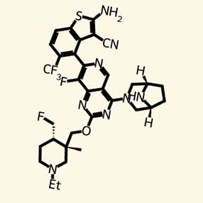 CCN1CC[C@H](CF)[C@](C)(COc2nc(N3C[C@H]4CC[C@@H](C3)N4)c3cnc(-c4c(C(F)(F)F)ccc5sc(N)c(C#N)c45)c(F)c3n2)C1